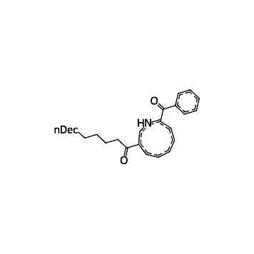 CCCCCCCCCCCCCCC(=O)c1cccccc(C(=O)c2ccccc2)[nH]c1